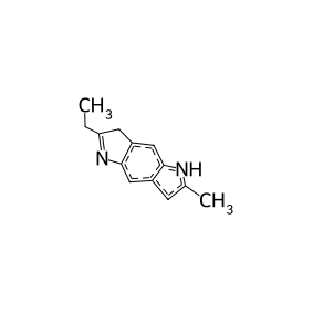 CCC1=Nc2cc3cc(C)[nH]c3cc2C1